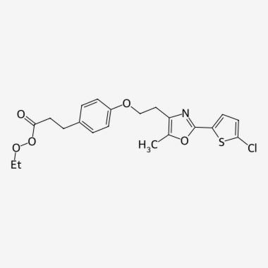 CCOOC(=O)CCc1ccc(OCCc2nc(-c3ccc(Cl)s3)oc2C)cc1